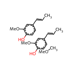 CC=Cc1ccc(O)c(OC)c1.CC=Cc1ccc(O)c(OC)c1.COC